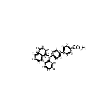 O=C(O)c1ccc(-c2ccc(N(c3ccccc3)c3cccc4ccccc34)cc2)cc1